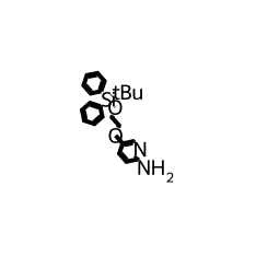 CC(C)(C)[Si](OCCOc1ccc(N)nc1)(c1ccccc1)c1ccccc1